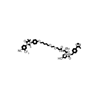 Cc1ncsc1-c1ccc(CNC(=O)[C@@H]2C[C@@H](O)CN2C(=O)[C@@H](NC(=O)CCOCCOCCCCCOc2ccc(N3C(=S)N(c4ccc(C#N)c(C(F)(F)F)c4)C(=O)C3(C)C)cc2)C(C)(C)C)cc1